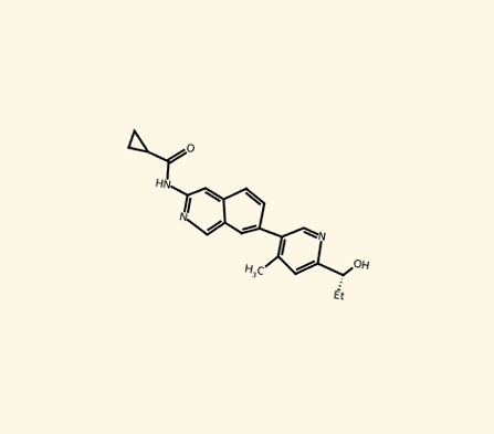 CC[C@@H](O)c1cc(C)c(-c2ccc3cc(NC(=O)C4CC4)ncc3c2)cn1